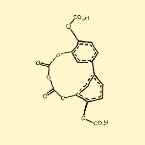 O=C(O)Oc1ccc2cc1OC(=O)OC(=O)Oc1cc-2ccc1OC(=O)O